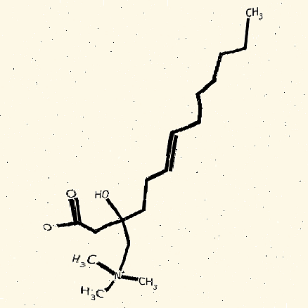 CCCCCCC=CCCC(O)(CC(=O)[O-])C[N+](C)(C)C